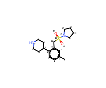 Cc1ccc(C2CCNCC2)c(CS(=O)(=O)N2CCCC2)c1